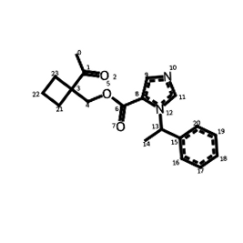 CC(=O)C1(COC(=O)c2cncn2C(C)c2ccccc2)CCC1